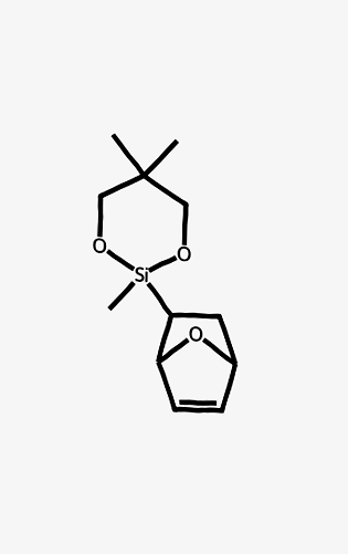 CC1(C)CO[Si](C)(C2CC3C=CC2O3)OC1